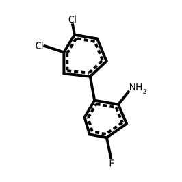 Nc1cc(F)ccc1-c1ccc(Cl)c(Cl)c1